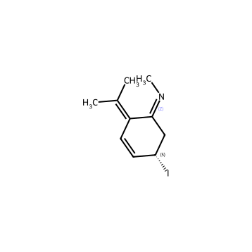 C/N=C1/C[C@H](I)C=CC1=C(C)C